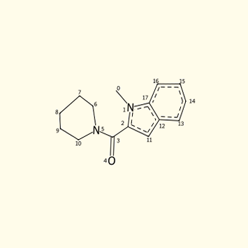 Cn1c(C(=O)N2CCCCC2)cc2ccccc21